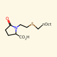 CCCCCCCCCSCCN1C(=O)CCC1C(=O)O